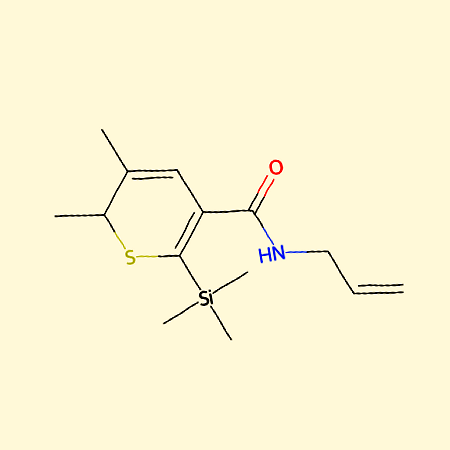 C=CCNC(=O)C1=C([Si](C)(C)C)SC(C)C(C)=C1